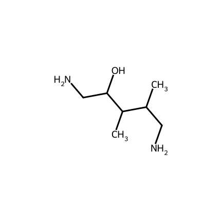 CC(CN)C(C)C(O)CN